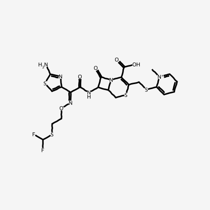 C[n+]1ccccc1SCC1=C(C(=O)O)N2C(=O)C(NC(=O)C(=NOCCSC(F)F)c3csc(N)n3)C2CS1